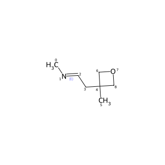 C/N=C/CC1(C)COC1